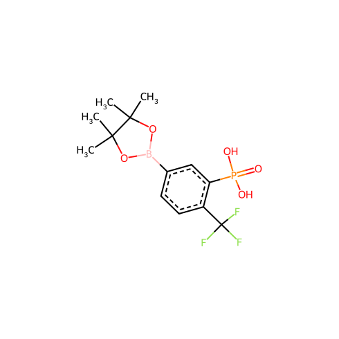 CC1(C)OB(c2ccc(C(F)(F)F)c(P(=O)(O)O)c2)OC1(C)C